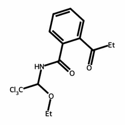 CCOC(NC(=O)c1ccccc1C(=O)CC)C(Cl)(Cl)Cl